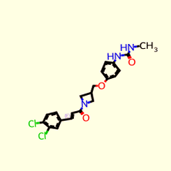 CNC(=O)Nc1ccc(OCC2CN(C(=O)/C=C/c3ccc(Cl)c(Cl)c3)C2)cc1